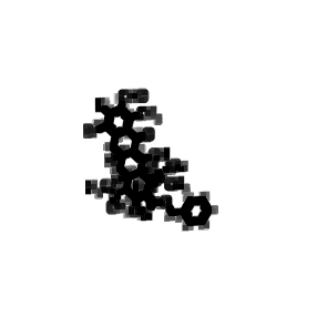 Cc1c(C=O)c(F)c(Br)c2c1C(=O)C1=C(O)[C@]3(O[Si](C)(C)C(C)(C)C)C(=O)c4c(OCc5ccccc5)noc4[C@@H](N(C)C)[C@@H]3C[C@@H]1C2